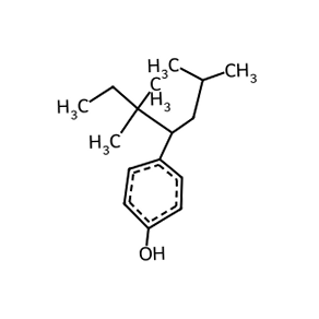 CCC(C)(C)C(CC(C)C)c1ccc(O)cc1